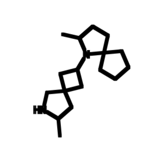 CC1CC2(CN1)CC(N1C(C)CCC13CCCC3)C2